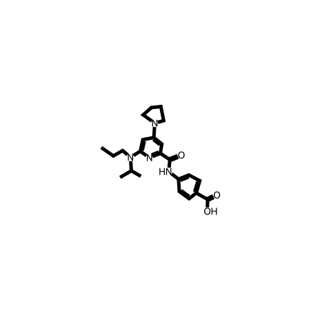 CCCN(c1cc(N2CCCC2)cc(C(=O)Nc2ccc(C(=O)O)cc2)n1)C(C)C